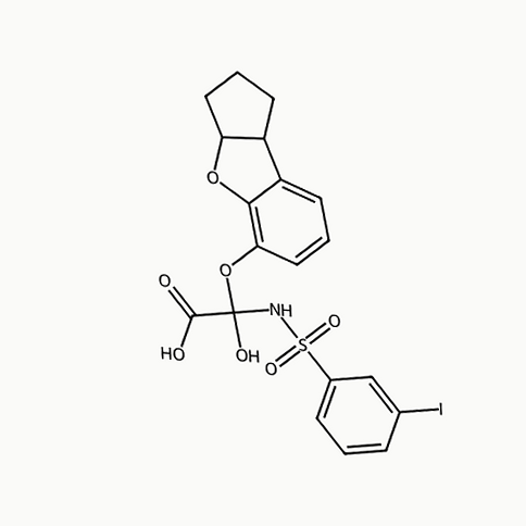 O=C(O)C(O)(NS(=O)(=O)c1cccc(I)c1)Oc1cccc2c1OC1CCCC21